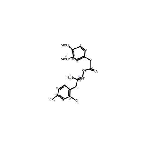 COc1ccc(CC(=O)O/N=C(\N)Cc2ccc(Cl)cc2Cl)cc1OC